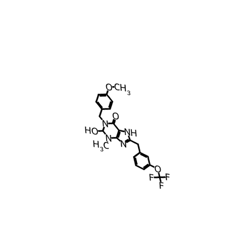 COc1ccc(CN2C(=O)c3[nH]c(Cc4cccc(OC(F)(F)F)c4)nc3N(C)C2O)cc1